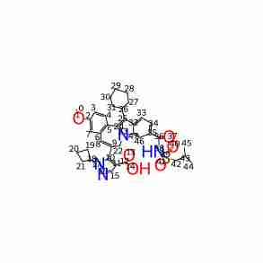 COc1ccc2c(c1)C=C(c1c(C(=O)O)cnn1C1CCC1)Cn1c-2c(C2CCCCC2)c2ccc(C(=O)NS(=O)(=O)CC(C)C)cc21